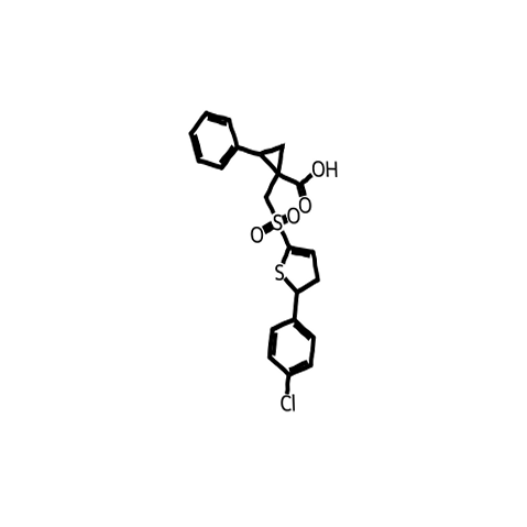 O=C(O)C1(CS(=O)(=O)C2=CCC(c3ccc(Cl)cc3)S2)CC1c1ccccc1